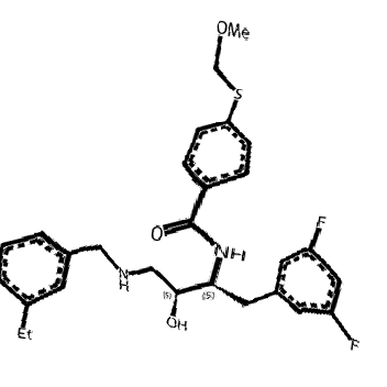 CCc1cccc(CNC[C@H](O)[C@H](Cc2cc(F)cc(F)c2)NC(=O)c2ccc(SCOC)cc2)c1